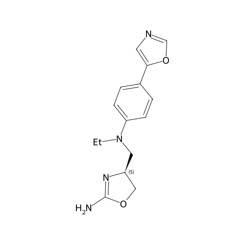 CCN(C[C@H]1COC(N)=N1)c1ccc(-c2cnco2)cc1